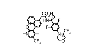 Cc1c(C(F)(F)F)cn(C)c(=O)c1-c1ccc(CC(NC(=O)c2c(F)cc(N3CCOC[C@@H]3C(F)(F)F)cc2F)C(=O)O)c2cccnc12